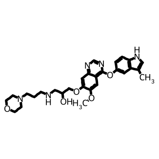 COc1cc2c(Oc3ccc4[nH]cc(C)c4c3)ncnc2cc1OCC(O)CNCCCN1CCOCC1